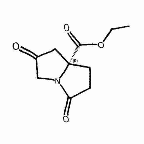 CCOC(=O)[C@]12CCC(=O)N1CC(=O)C2